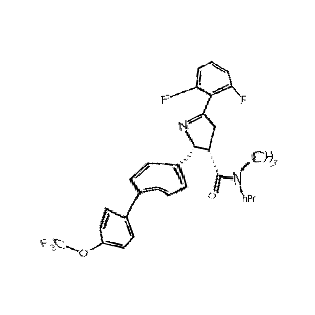 CCCN(C)C(=O)[C@H]1CC(c2c(F)cccc2F)=N[C@H]1c1ccc(-c2ccc(OC(F)(F)F)cc2)cc1